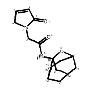 O=C(CN1CC=CC1=O)NC12CC3CC(CC(C3)O1)O2